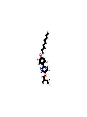 C=CCCCCCCCOc1ccc(-c2ncc(OCC(C)CC)cn2)cc1